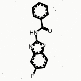 O=C(Nc1nc2cc(F)ccc2s1)c1ccccc1